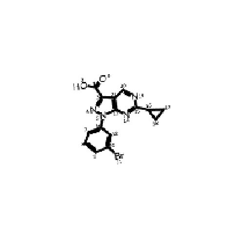 O=C(O)c1nn(-c2cccc(Br)c2)c2nc(C3CC3)ncc12